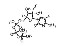 Nc1nc(=S)n(C2O[C@](F)(COP(=O)(O)OP(=O)(O)OP(=O)(O)O)C(O)[C@@]2(O)CF)cc1F